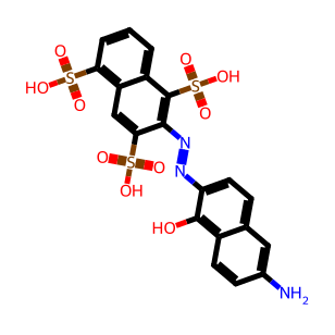 Nc1ccc2c(O)c(N=Nc3c(S(=O)(=O)O)cc4c(S(=O)(=O)O)cccc4c3S(=O)(=O)O)ccc2c1